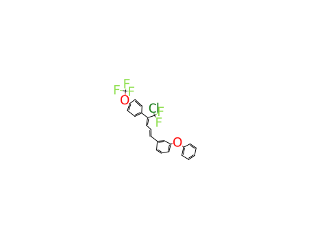 FC(F)(F)Oc1ccc(C(=CC=Cc2cccc(Oc3ccccc3)c2)C(F)(F)Cl)cc1